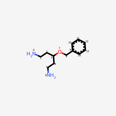 NCCC(CCN)OCc1ccccc1